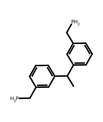 CC(c1cccc(CP)c1)c1cccc(CP)c1